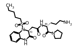 CCCCCS(=O)(=O)N1c2ccccc2NC(=O)[C@@H]1CC(=O)N[C@H](CCCN)C(=O)N1CCCC1